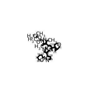 Cc1nn(C(=O)OC(C)(C)C)c(C)c1-c1cc(C23CCOCC2C3)nc2c(-c3ccnn3C3CCCCO3)cnn12